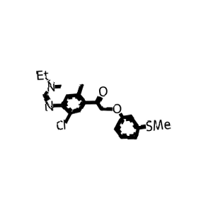 CCN(C)/C=N\c1cc(C)c(C(=O)COc2cccc(SC)c2)cc1Cl